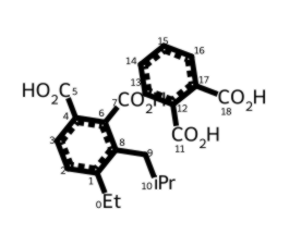 CCc1ccc(C(=O)O)c(C(=O)O)c1CC(C)C.O=C(O)c1ccccc1C(=O)O